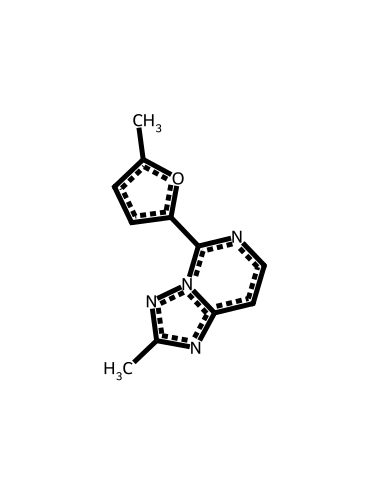 Cc1nc2ccnc(-c3ccc(C)o3)n2n1